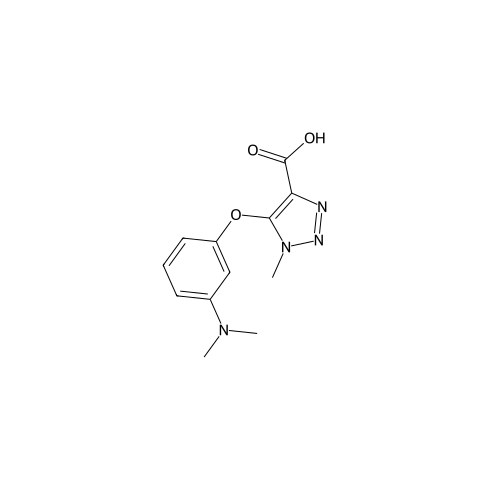 CN(C)c1cccc(Oc2c(C(=O)O)nnn2C)c1